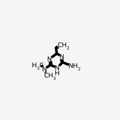 C=CC1N=C(N)NC(N(C)C)=N1